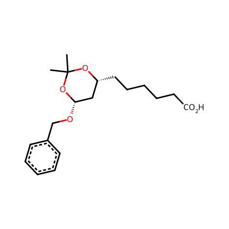 CC1(C)O[C@H](CCCCCC(=O)O)C[C@H](OCc2ccccc2)O1